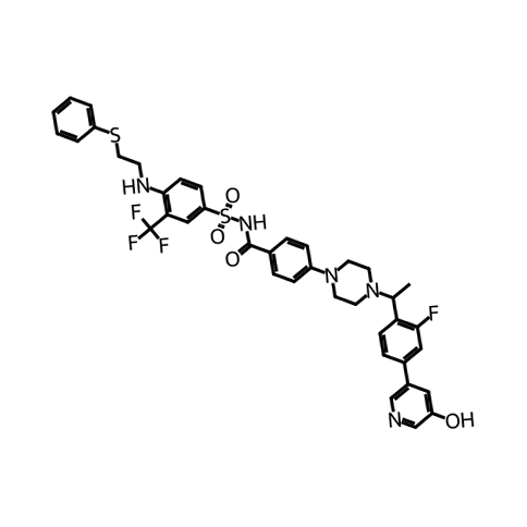 CC(c1ccc(-c2cncc(O)c2)cc1F)N1CCN(c2ccc(C(=O)NS(=O)(=O)c3ccc(NCCSc4ccccc4)c(C(F)(F)F)c3)cc2)CC1